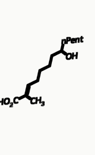 CCCCCC(O)CCCCC=C(C)C(=O)O